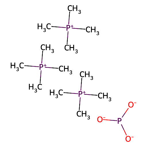 C[P+](C)(C)C.C[P+](C)(C)C.C[P+](C)(C)C.[O-]P([O-])[O-]